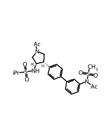 CC(=O)N1C[C@H](NS(=O)(=O)C(C)C)[C@@H](c2ccc(-c3cccc(N(C(C)=O)S(C)(=O)=O)c3)cc2)C1